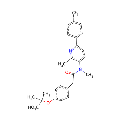 Cc1nc(-c2ccc(C(F)(F)F)cc2)ccc1N(C)C(=O)Cc1ccc(OC(C)(C)C(=O)O)cc1